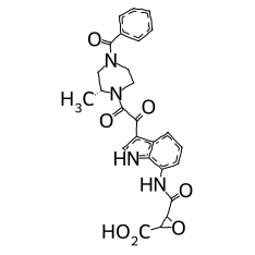 C[C@@H]1CN(C(=O)c2ccccc2)CCN1C(=O)C(=O)c1c[nH]c2c(NC(=O)C3OC3C(=O)O)cccc12